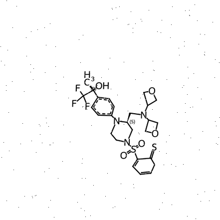 C[C@@](O)(c1ccc(N2CCN(S(=O)(=O)C3=CC=CCC3=S)C[C@@H]2CN(C2COC2)C2COC2)cc1)C(F)(F)F